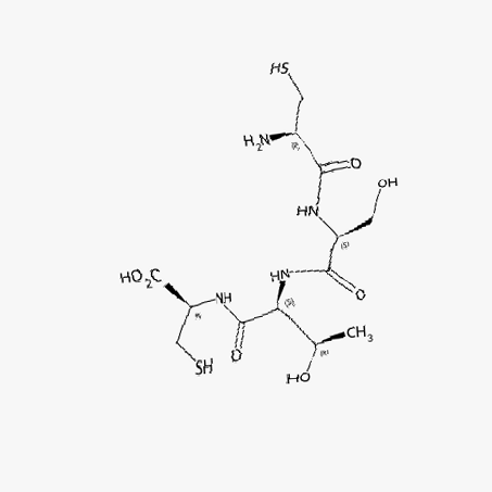 C[C@@H](O)[C@H](NC(=O)[C@H](CO)NC(=O)[C@@H](N)CS)C(=O)N[C@@H](CS)C(=O)O